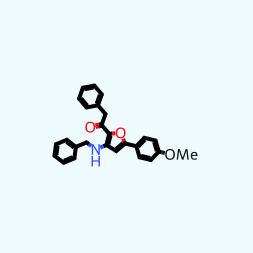 COc1ccc(-c2cc(NCc3ccccc3)c(C(=O)Cc3ccccc3)o2)cc1